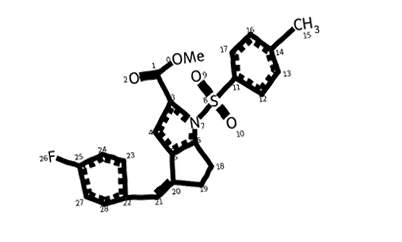 COC(=O)c1cc2c(n1S(=O)(=O)c1ccc(C)cc1)CCC2=Cc1ccc(F)cc1